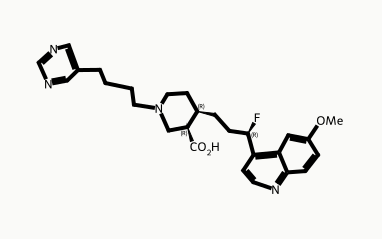 COc1ccc2nccc([C@H](F)CC[C@@H]3CCN(CCCCc4cncnc4)C[C@@H]3C(=O)O)c2c1